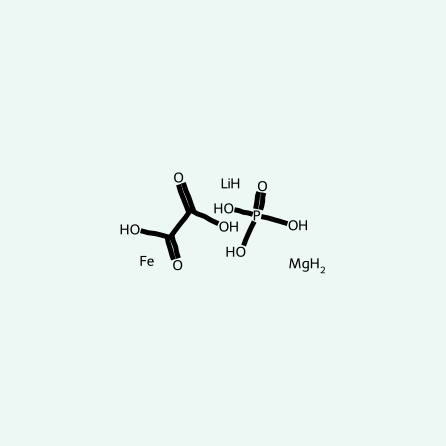 O=C(O)C(=O)O.O=P(O)(O)O.[Fe].[LiH].[MgH2]